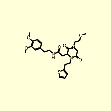 COCCN1CC(=O)N(CCc2cccs2)C(CC(=O)NCCc2ccc(OC)c(OC)c2)C1=O